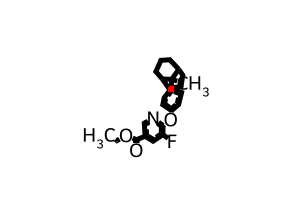 CCOC(=O)c1cnc(Oc2ccc(C3(C)C4CCCC3CCC4)cc2)c(F)c1